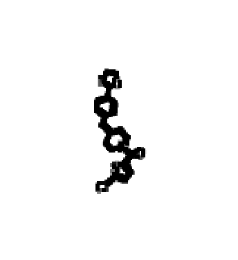 O=C(c1ccc(Cl)s1)N1CCC(=Cc2ccc(C3=NCCO3)cc2)CC1